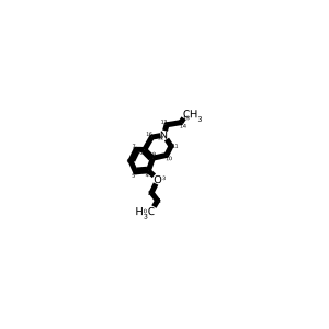 CCCOc1cccc2c1CCN(CCC)C2